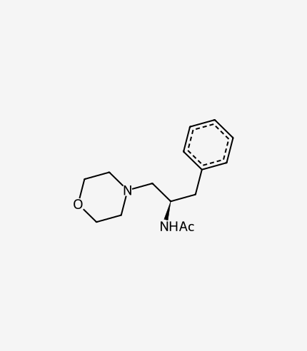 CC(=O)N[C@H](Cc1ccccc1)CN1CCOCC1